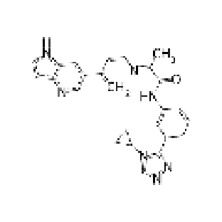 C=C(/C=C\N=C(/C)C(=O)NC1=CC(c2nncn2C2CC2)CC=C1)c1cnc2cc[nH]c2c1